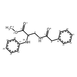 COC(=O)C(CNC(=O)Cc1ccccc1)Nc1ccccc1